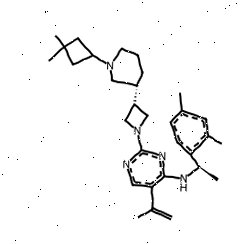 C=C(C)c1cnc(N2CC([C@H]3CCCN(C4CC(C)(C)C4)C3)C2)nc1N[C@H](C)c1ccc(C)cc1C